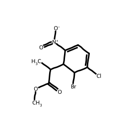 COC(=O)C(C)C1C([N+](=O)[O-])=CC=C(Cl)C1Br